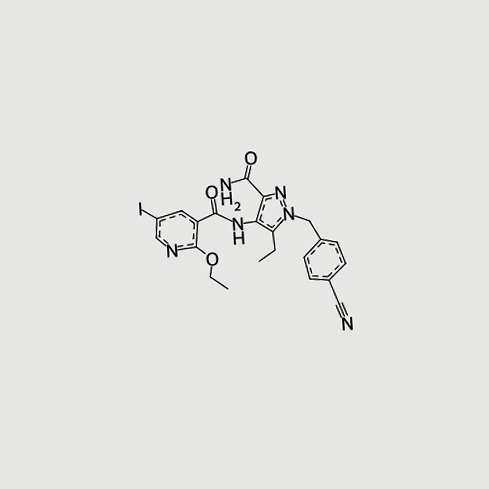 CCOc1ncc(I)cc1C(=O)Nc1c(C(N)=O)nn(Cc2ccc(C#N)cc2)c1CC